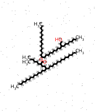 CCCCCCCCCCCCCCCCC(CCCCCCCCCCCCCCC)CCC(CCCCC(C)C)C(=O)OC(CCCCCCCCCCCCCCC)CCCCCCCCCC(CCO)CCCCCCCC